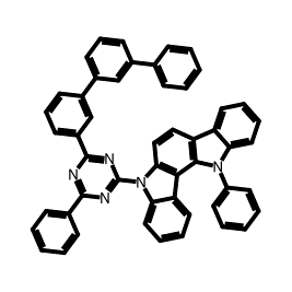 c1ccc(-c2cccc(-c3cccc(-c4nc(-c5ccccc5)nc(-n5c6ccccc6c6c5ccc5c7ccccc7n(-c7ccccc7)c56)n4)c3)c2)cc1